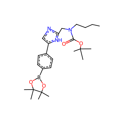 CCCCN(Cc1ncc(-c2ccc(B3OC(C)(C)C(C)(C)O3)cc2)[nH]1)C(=O)OC(C)(C)C